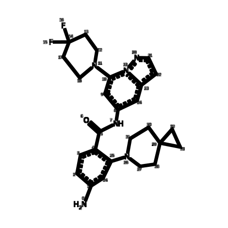 Nc1ccc(C(=O)Nc2cc(N3CCC(F)(F)CC3)n3nccc3c2)c(N2CCC3(CC2)CC3)c1